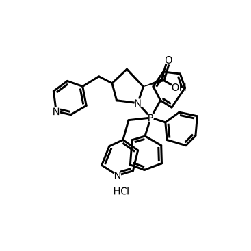 Cl.O=C(O)[C@@H]1CC(Cc2ccncc2)CN1P(Cc1ccncc1)(c1ccccc1)(c1ccccc1)c1ccccc1